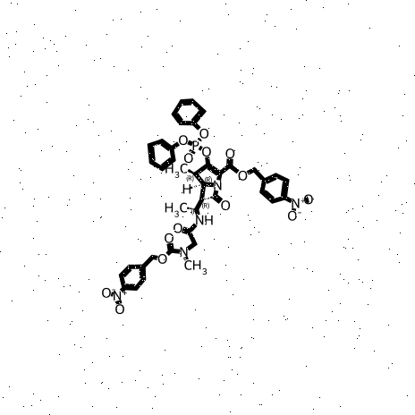 C[C@@H](NC(=O)CN(C)C(=O)OCc1ccc([N+](=O)[O-])cc1)[C@H]1C(=O)N2C(C(=O)OCc3ccc([N+](=O)[O-])cc3)=C(OP(=O)(Oc3ccccc3)Oc3ccccc3)[C@H](C)[C@H]12